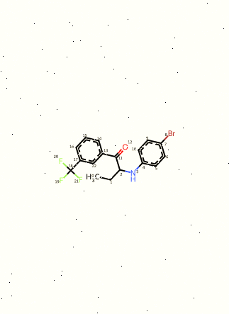 CCC(Nc1ccc(Br)cc1)C(=O)c1cccc(C(F)(F)F)c1